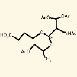 CC(=O)NC(C(OC(C)=O)OC(C)=O)[C@H](OCCCC(=O)O)OC(C)COC(C)=O